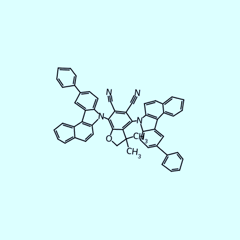 CC1(C)COc2c(-n3c4ccc(-c5ccccc5)cc4c4c5ccccc5ccc43)c(C#N)c(C#N)c(-n3c4ccc(-c5ccccc5)cc4c4c5ccccc5ccc43)c21